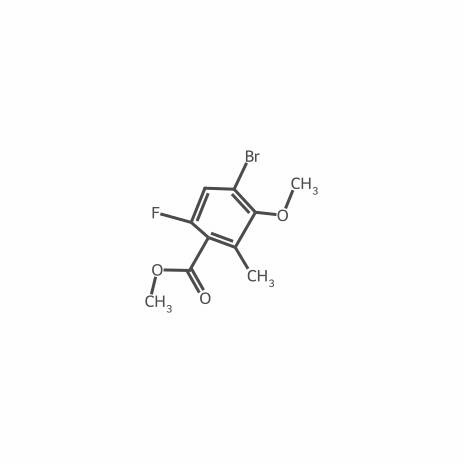 COC(=O)c1c(F)cc(Br)c(OC)c1C